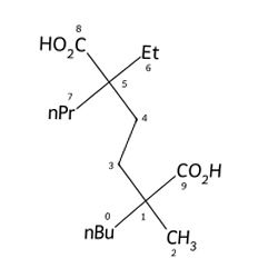 CCCCC(C)(CCC(CC)(CCC)C(=O)O)C(=O)O